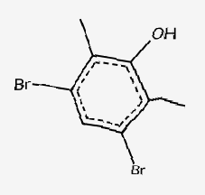 Cc1c(Br)cc(Br)c(C)c1O